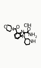 Cl.NC(=O)c1nc2c(C(=O)N3CCOCC3)cccc2n1C1CCCNC1